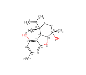 C=C(C)[C@]1(C)CC[C@](C)(O)C2Oc3cc(CCC)cc(O)c3C21